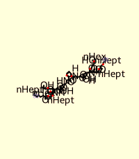 CCCCCC/C=C\CCCC(=O)O[C@H](CCCCCCC)CC(=O)NC(COCC[C@H](O)CCCCCCC)COP(=O)(O)OCCNC(=O)c1ccccc1C(=O)NCCOP(=O)(O)OCC(COCC[C@H](O)CCCCCCC)NC(=O)C[C@@H](CCCCCCC)OC(=O)CCC/C=C\CCCCCC